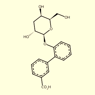 O=C(O)c1cccc(-c2ccccc2O[C@@H]2O[C@H](CO)[C@H](O)C[C@H]2O)c1